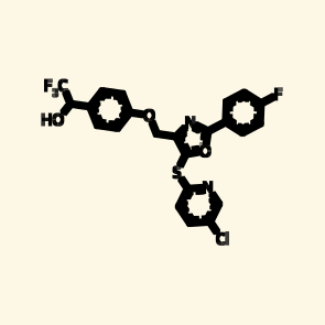 OC(c1ccc(OCc2nc(-c3ccc(F)cc3)oc2Sc2ccc(Cl)cn2)cc1)C(F)(F)F